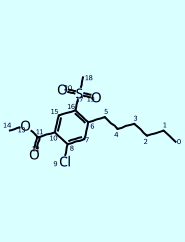 CCCCCCc1cc(Cl)c(C(=O)OC)cc1S(C)(=O)=O